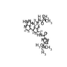 CN(C)C(=O)N[C@@H]1CCN(c2n[nH]c3nccc(-c4ccc(CNC(=O)c5noc(C(C)(C)C)n5)c(F)c4)c23)C1